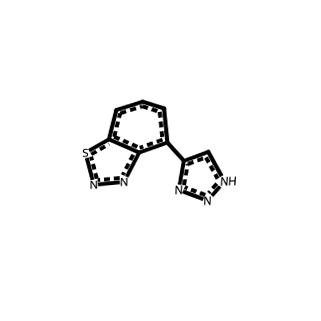 c1cc(-c2c[nH]nn2)c2nnsc2c1